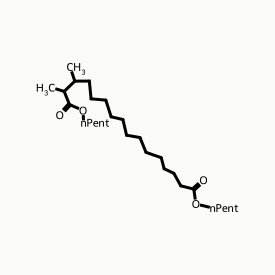 CCCCCOC(=O)CCCCCCCCCCCCC(C)C(C)C(=O)OCCCCC